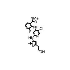 CNC(=O)c1cccc(F)c1Nc1cc(Nc2cc(CCO)nn2C)ncc1Cl